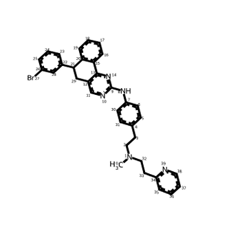 CN(CCc1ccc(Nc2ncc3c(n2)-c2ccccc2C(c2cccc(Br)c2)C3)cc1)CCc1ccccn1